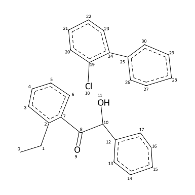 CCc1ccccc1C(=O)C(O)c1ccccc1.Clc1ccccc1-c1ccccc1